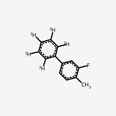 [2H]c1c([2H])c([2H])c(-c2ccc(C)c(F)c2)c([2H])c1[2H]